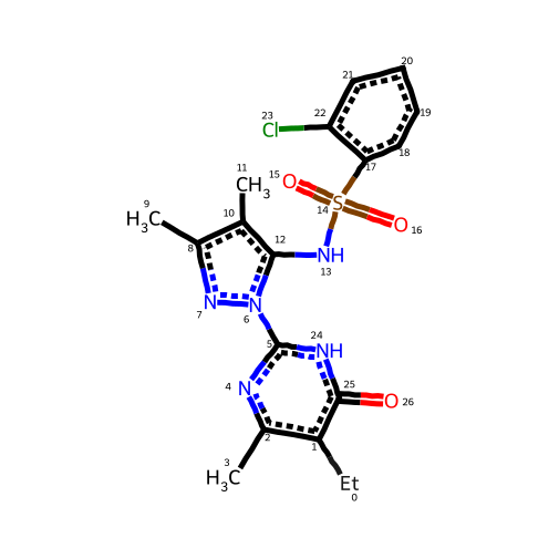 CCc1c(C)nc(-n2nc(C)c(C)c2NS(=O)(=O)c2ccccc2Cl)[nH]c1=O